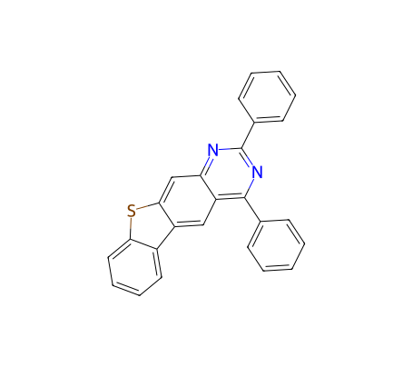 c1ccc(-c2nc(-c3ccccc3)c3cc4c(cc3n2)sc2ccccc24)cc1